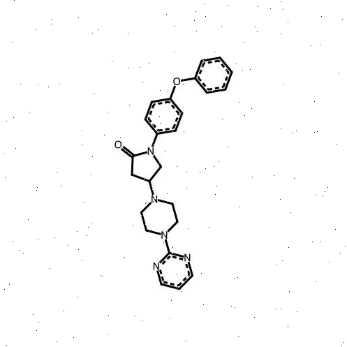 O=C1CC(N2CCN(c3ncccn3)CC2)CN1c1ccc(Oc2ccccc2)cc1